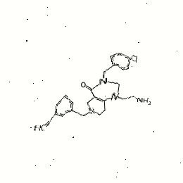 C#Cc1cccc(CN2CCC3=C(C2)C(=O)N(Cc2ccc(Cl)cc2)CN3CCN)c1